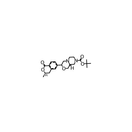 C[C@@H]1Cc2cc(C3CN4CCN(C(=O)OC(C)(C)C)C[C@@H]4CO3)ccc2C(=O)O1